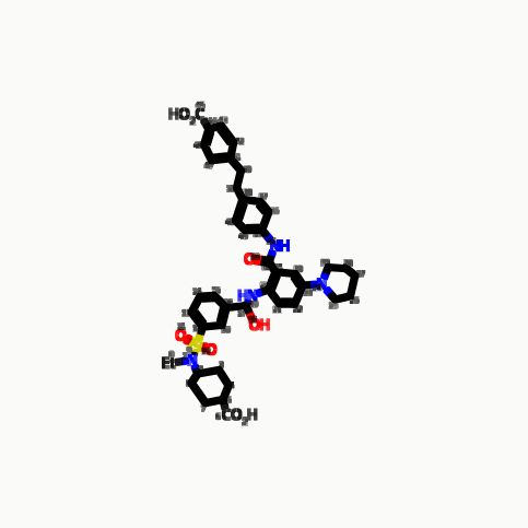 CCN(C1CCC(C(=O)O)CC1)S(=O)(=O)c1cccc(C(O)Nc2ccc(N3CCCCC3)cc2C(=O)Nc2ccc(CCc3ccc(C(=O)O)cc3)cc2)c1